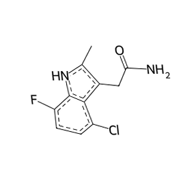 Cc1[nH]c2c(F)ccc(Cl)c2c1CC(N)=O